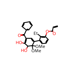 C=CC(=O)Oc1cccc(C2=CC(C(=O)c3ccccc3)=C(O)C(O)C2(OC)OC)c1CC